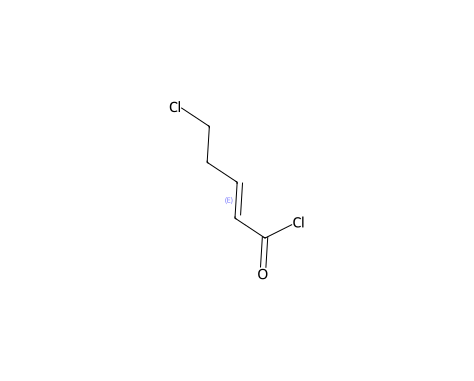 O=C(Cl)/C=C/CCCl